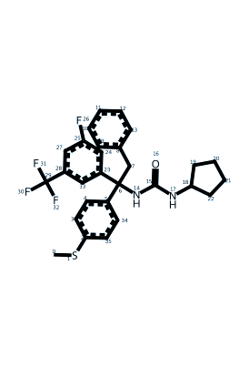 CSc1ccc(C(Cc2ccccc2)(NC(=O)NC2CCCC2)c2cc(F)cc(C(F)(F)F)c2)cc1